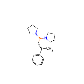 CC(=CP(N1CCCC1)N1CCCC1)c1ccccc1